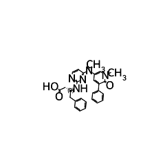 CN(c1cc(-c2ccccc2)c(=O)n(C)c1)c1ccnc(N[C@@H](CC(=O)O)Cc2ccccc2)n1